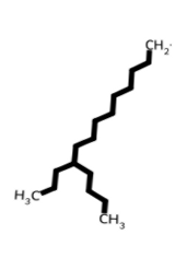 [CH2]CCCCCCCCC(CCC)CCCC